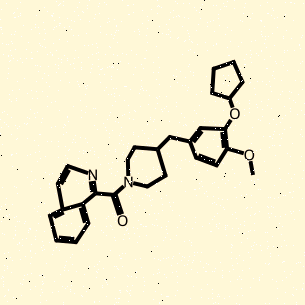 COc1ccc(CC2CCN(C(=O)c3nccc4ccccc34)CC2)cc1OC1CCCC1